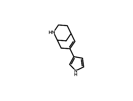 C1=C(c2cc[nH]c2)CC2CC1CCN2